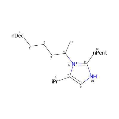 CCCCCCCCCCCCCC(C)[n+]1c(C(C)C)c[nH]c1CCCCC